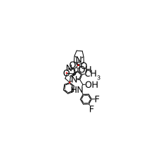 Cc1c(S(=O)(=O)N2C3CCC2CC(O)(c2cc(-c4ccccc4)on2)C3)c2n(c1C(O)Nc1ccc(F)c(F)c1)CCC2